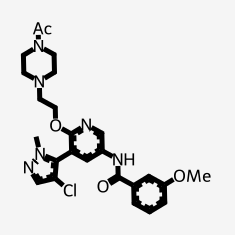 COc1cccc(C(=O)Nc2cnc(OCCN3CCN(C(C)=O)CC3)c(-c3c(Cl)cnn3C)c2)c1